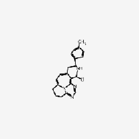 Cc1ccc(C2CC3=CC=C4CCCC5=NC=NC(=C3C(Cl)N2)N45)cc1